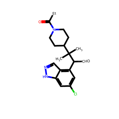 CCC(=O)N1CCC(C(C)(C)C(C=O)c2cc(Cl)cc3[nH]ncc23)CC1